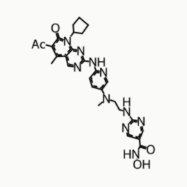 CC(=O)c1c(C)c2cnc(Nc3ccc(N(C)CCNc4ncc(C(=O)NO)cn4)cn3)nc2n(C2CCCC2)c1=O